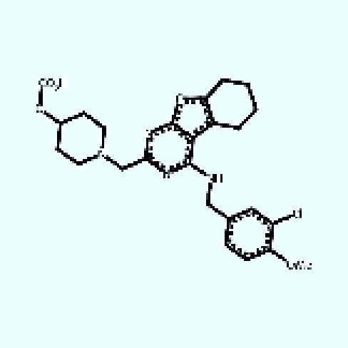 COc1ccc(CNc2nc(CN3CCC(OC(=O)O)CC3)nc3oc4c(c23)CCCC4)cc1Cl